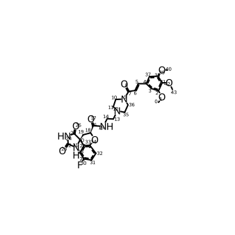 COc1cc(/C=C/C(=O)N2CCN(CCNC(=O)[C@@H]3C[C@]4(NC(=O)NC4=O)c4cc(F)ccc4O3)CC2)cc(OC)c1OC